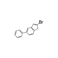 BrC1=Cc2cc(-c3ccccc3)ccc2C1